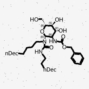 CCCCCCCCCCCCCCN(C(=O)NCCCCCCCCCCCC)[C@@H]1O[C@H](CO)[C@@H](O)[C@H](O)[C@H]1NC(=O)OCc1ccccc1